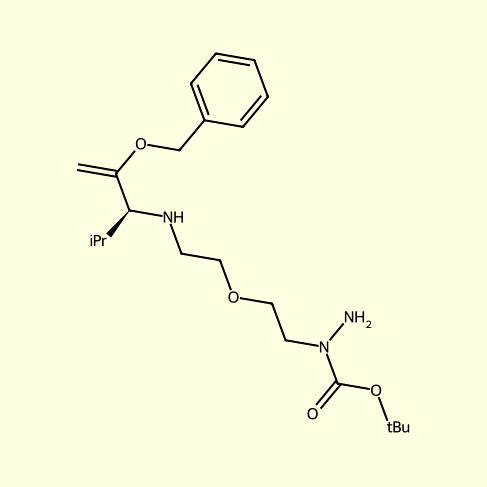 C=C(OCc1ccccc1)[C@@H](NCCOCCN(N)C(=O)OC(C)(C)C)C(C)C